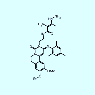 CCOc1cc2c(cc1OC)-c1c/c(=N\c3c(C)cc(C)cc3C)n(CCNC(=O)/C(N)=C(\C)NN)c(=O)n1CC2